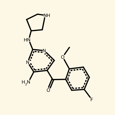 COc1ccc(F)cc1C(=O)c1cnc(NC2CCNC2)nc1N